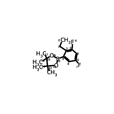 CCc1c(F)cc(F)cc1B1OC(C)(C)C(C)(C)O1